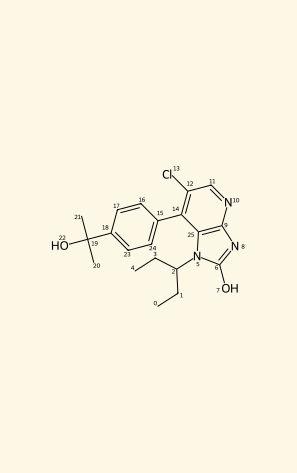 CCC(CC)n1c(O)nc2ncc(Cl)c(-c3ccc(C(C)(C)O)cc3)c21